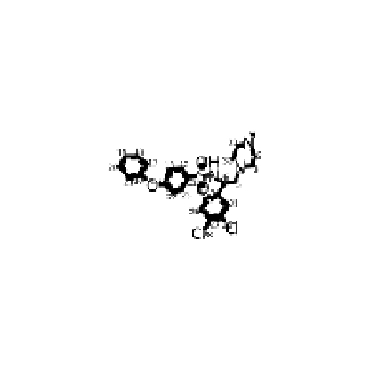 CN1CCN(CC(NS(=O)(=O)c2ccc(Oc3ccccc3)cc2)c2ccc(Cl)c(Cl)c2)CC1